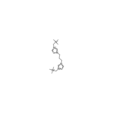 C[N+](C)(C)C[n+]1ccn(CCCn2cc[n+](C[N+](C)(C)C)c2)c1